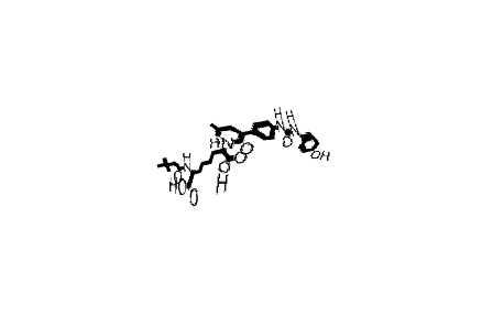 CC(C)CC(C(=O)NC(CCCCC(NC(=O)CC(C)(C)C)C(=O)O)C(=O)O)c1ccc(NC(=O)Nc2ccc(O)cc2)cc1